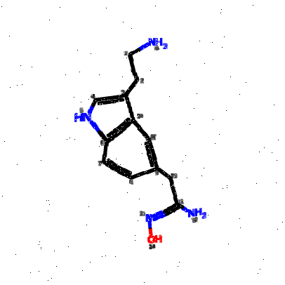 NCCc1c[nH]c2ccc(CC(N)=NO)cc12